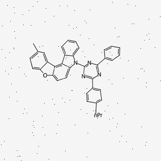 CCCc1ccc(-c2nc(-c3ccccc3)nc(-n3c4ccccc4c4c5c(ccc43)oc3ccc(C)cc35)n2)cc1